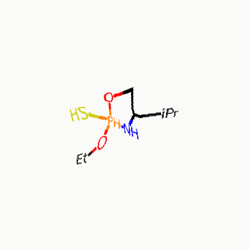 CCO[PH]1(S)NC(C(C)C)CO1